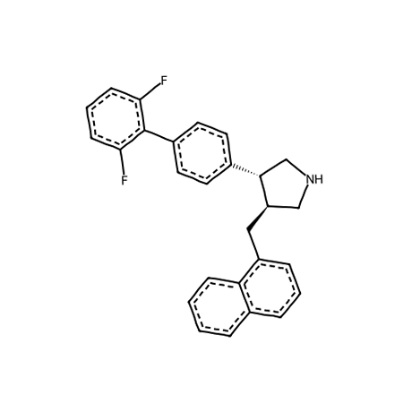 Fc1cccc(F)c1-c1ccc([C@@H]2CNC[C@H]2Cc2cccc3ccccc23)cc1